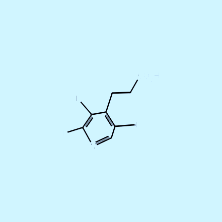 O=C(O)CCc1c(F)cnc(F)c1F